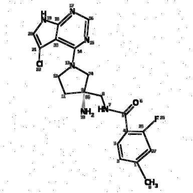 Cc1ccc(C(=O)NC[C@@]2(N)CCN(c3ncnc4[nH]cc(Cl)c34)C2)c(F)c1